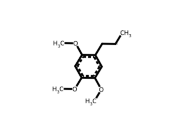 C[CH]Cc1cc(OC)c(OC)cc1OC